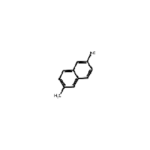 [C-]#[N+]c1ccc2cc(C)ccc2c1